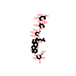 CC(C)=CCC[C@](C)(O[C@@H]1O[C@H](CO[C@@H]2OC[C@@H](O)[C@H](O[C@@H]3OC[C@@H](O)[C@H](O)[C@H]3O)[C@H]2O)[C@@H](O)[C@H](O)[C@H]1O)[C@H]1CC[C@]2(C)[C@@H]1[C@H](O)C[C@@H]1[C@@]3(C)CC[C@H](O[C@@H]4O[C@H](CO)[C@@H](O)[C@H](O)[C@H]4O)C(C)(C)[C@@H]3CC[C@]12C